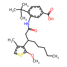 CCCCCC(CC(=O)Nc1cc(C(=O)O)ccc1C(C)(C)C)c1c(C)csc1OC